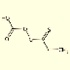 C=CC(=S)OOC(=O)O